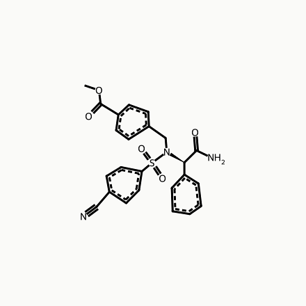 COC(=O)c1ccc(CN([C@@H](C(N)=O)c2ccccc2)S(=O)(=O)c2ccc(C#N)cc2)cc1